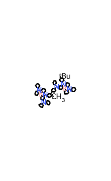 Cc1ccc(N2c3cc(N(c4ccccc4)c4ccccc4)ccc3B3c4ccccc4N(c4ccccc4)c4cccc2c43)cc1-c1ccc(N(c2ccccc2)c2ccc3c(c2)N(c2ccc(C(C)(C)C)cc2)c2cccc4c2B3c2ccccc2N4c2ccccc2)cc1